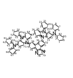 c1ccc(N(c2ccccc2)c2ccc3c(c2)N(c2ccccc2)c2ccccc2N3c2ccc3c(c2)c2cc(N4c5ccccc5N(c5ccccc5)c5cc(N(c6ccccc6)c6ccccc6)ccc54)ccc2c2nccnc32)cc1